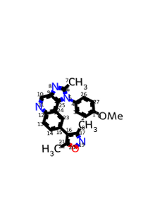 COc1ccc(-n2c(C)nc3cnc4ccc(-c5c(C)noc5C)cc4c32)cc1